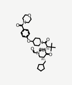 CC(C)(C)[C@H](NC(=O)[C@H](CC1CCCC1)CN(O)C=O)C(=O)N1CCC(Oc2ccc(C(=O)N3CCOCC3)cc2)CC1